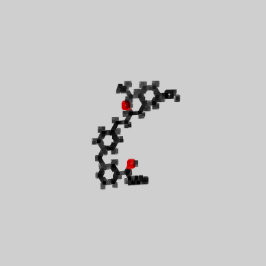 CNC(=O)c1cccc(Cc2ccc(CCC(=O)Cc3cc(C(F)(F)F)ccc3CC(C)=O)cc2)c1